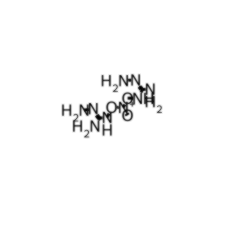 NN=C(N)NO[N+](=O)ONC(N)=NN